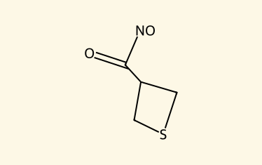 O=NC(=O)C1CSC1